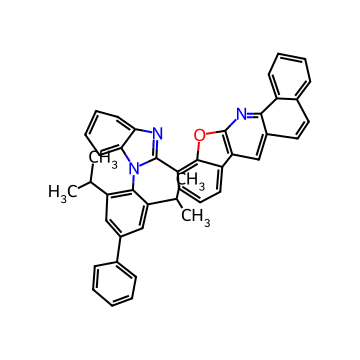 CC(C)c1cc(-c2ccccc2)cc(C(C)C)c1-n1c(-c2cccc3c2oc2nc4c(ccc5ccccc54)cc23)nc2ccccc21